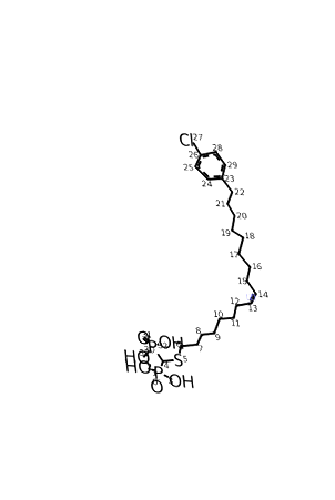 O=P(O)(O)C(SCCCCCCC/C=C\CCCCCCCCc1ccc(Cl)cc1)P(=O)(O)O